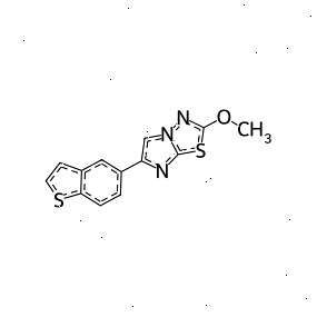 COc1nn2cc(-c3ccc4sccc4c3)nc2s1